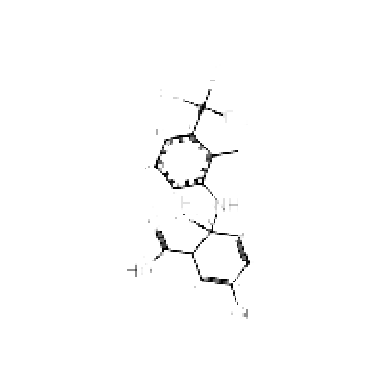 Cc1c(NC2(N)C=CC(Br)=CC2C(=O)O)cccc1C(F)(F)F